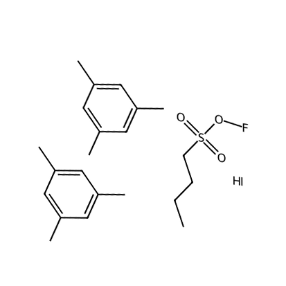 CCCCS(=O)(=O)OF.Cc1cc(C)cc(C)c1.Cc1cc(C)cc(C)c1.I